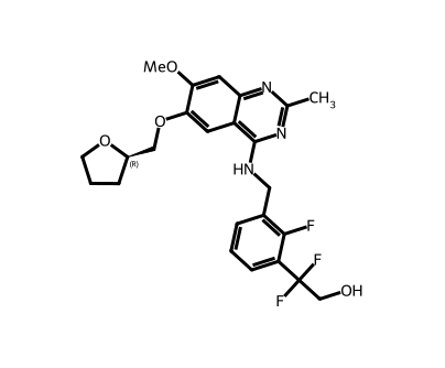 COc1cc2nc(C)nc(NCc3cccc(C(F)(F)CO)c3F)c2cc1OC[C@H]1CCCO1